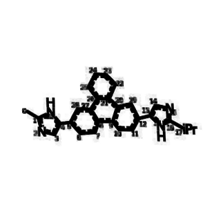 Cc1ncc(-c2ccc3c4ccc(-c5cnc(C(C)C)[nH]5)cc4c4ccccc4c3c2)[nH]1